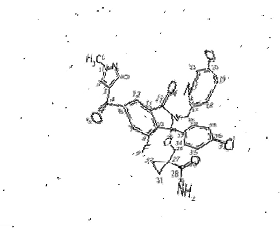 Cn1cc(C(=O)c2cc(F)c3c(c2)C(=O)N(Cc2ccc(Cl)cn2)[C@@]3(OCC2(C(N)=O)CC2)c2ccc(Cl)cc2)cn1